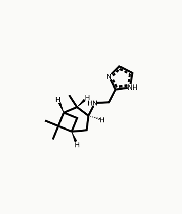 C[C@@H]1[C@@H](NCc2ncc[nH]2)C[C@H]2C[C@@H]1C2(C)C